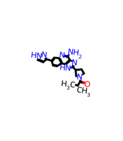 CC(C)C(=O)N1CCC(c2nc3c(N)nc4cc(-c5cc[nH]n5)ccc4c3[nH]2)C1